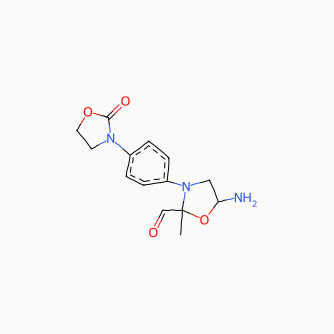 CC1(C=O)OC(N)CN1c1ccc(N2CCOC2=O)cc1